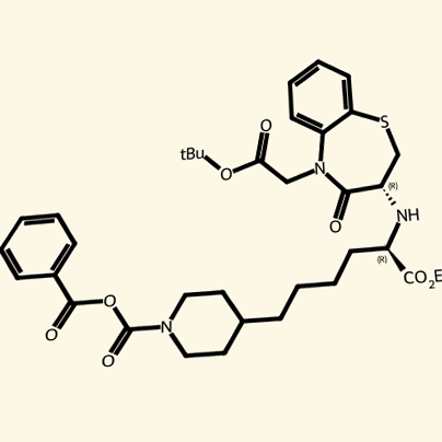 CCOC(=O)[C@@H](CCCCC1CCN(C(=O)OC(=O)c2ccccc2)CC1)N[C@H]1CSc2ccccc2N(CC(=O)OC(C)(C)C)C1=O